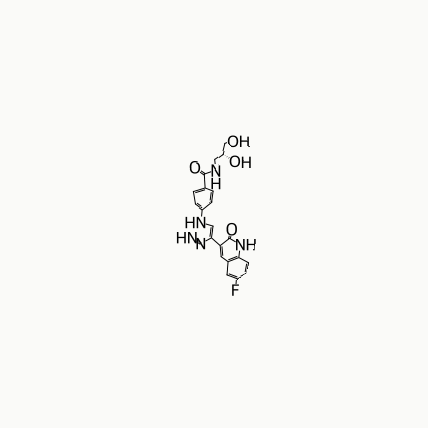 N=N/C(=C\Nc1ccc(C(=O)NC[C@@H](O)CO)cc1)c1cc2cc(F)ccc2[nH]c1=O